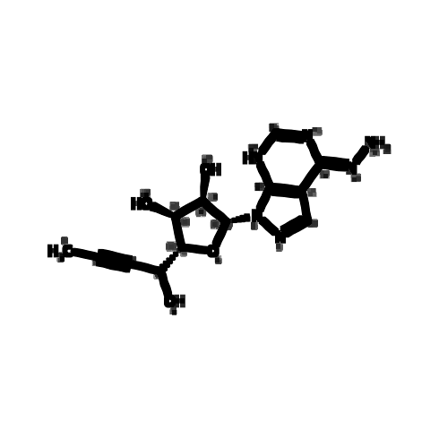 CC#CC(O)[C@H]1O[C@@H](n2ncc3c(=NN)nc[nH]c32)[C@H](O)[C@@H]1O